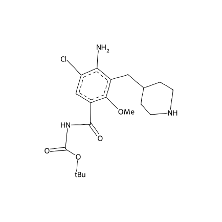 COc1c(C(=O)NC(=O)OC(C)(C)C)cc(Cl)c(N)c1CC1CCNCC1